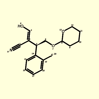 N#CC(=CO)[C@@H](COC1CCCCO1)c1ccccc1F